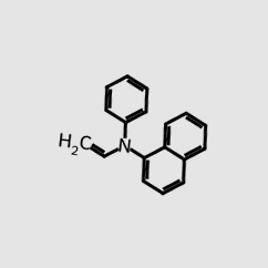 C=CN(c1ccccc1)c1cccc2ccccc12